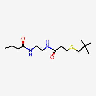 CCCC(=O)NCCNC(=O)CCSCC(C)(C)C